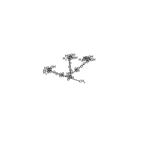 CCCCCCCCCCNC(=O)C(CCCCNC(=O)COCCOCCOCCO[C@@H]1O[C@H](CO)[C@H](O)[C@H](O)[C@H]1N)NC(=O)C(CCCCNC(=O)COCCOCCOCCO[C@@H]1O[C@H](CO)[C@H](O)[C@H](O)[C@H]1NC(C)=O)NC(=O)COCCOCCOCCO[C@@H]1O[C@H](CO)[C@H](O)[C@H](O)[C@H]1N